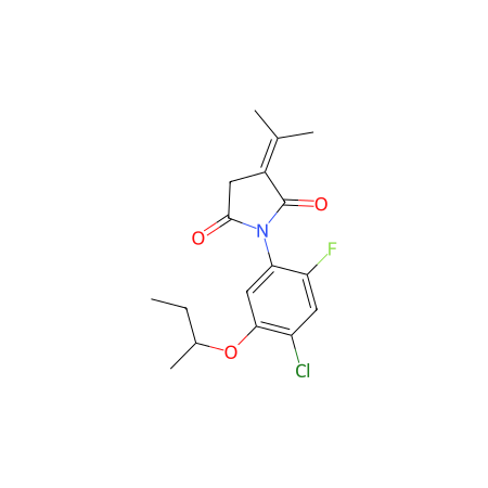 CCC(C)Oc1cc(N2C(=O)CC(=C(C)C)C2=O)c(F)cc1Cl